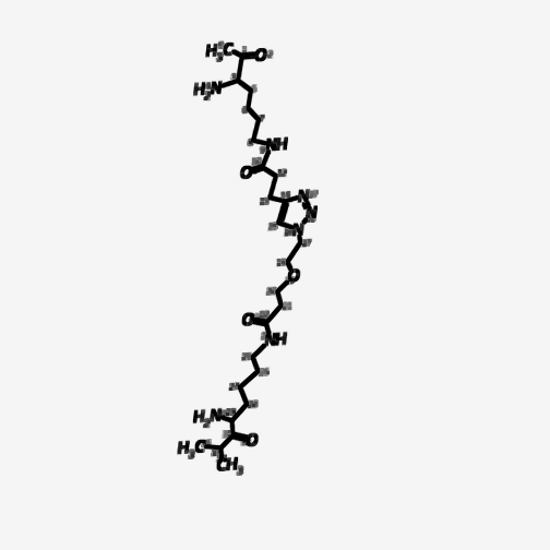 CC(=O)C(N)CCCCNC(=O)CCc1cn(CCOCCC(=O)NCCCCC(N)C(=O)C(C)C)nn1